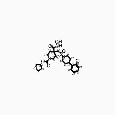 O=C(O[C@H]1CCOC1)N1CCC(CS(=O)(=O)N2CCC(c3ccccc3Cl)CC2)(C(=O)NO)CC1